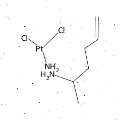 C=CCCC(C)N.[NH2][Pt]([Cl])[Cl]